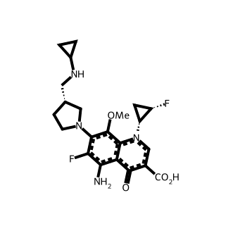 COc1c(N2CC[C@H](CNC3CC3)C2)c(F)c(N)c2c(=O)c(C(=O)O)cn([C@@H]3C[C@@H]3F)c12